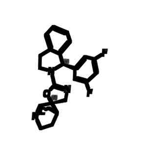 Fc1cc(F)cc([C@@H]2c3ccccc3CCN2C2=NC[C@@]3(CN4CCC3CC4)O2)c1